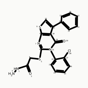 NNC(=O)CSc1nc2scc(-c3ccccc3)c2c(=O)n1-c1ccccc1Cl